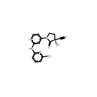 Cc1cccc(Nc2cc(N3CC[C@](O)(C#N)C3=O)ccn2)n1